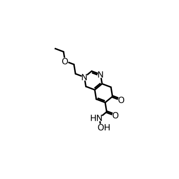 CCOCCN1C=NC2=C(C=C(C(=O)NO)C(=O)C2)C1